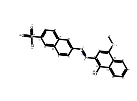 COc1cc(/N=N/c2ccc3cc(S(=O)(=O)Cl)ccc3c2)c(O)c2ccccc12